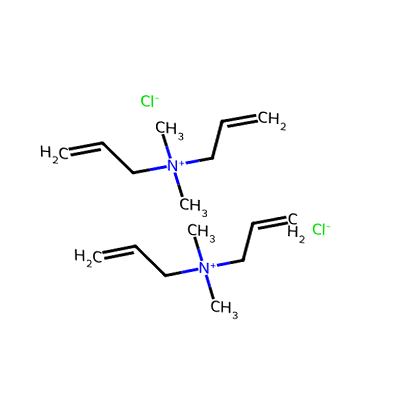 C=CC[N+](C)(C)CC=C.C=CC[N+](C)(C)CC=C.[Cl-].[Cl-]